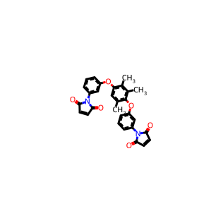 Cc1cc(Oc2cccc(N3C(=O)C=CC3=O)c2)c(C)c(C)c1Oc1cccc(N2C(=O)C=CC2=O)c1